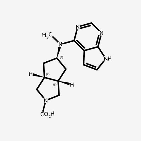 CN(c1ncnc2[nH]ccc12)[C@H]1C[C@@H]2CN(C(=O)O)C[C@@H]2C1